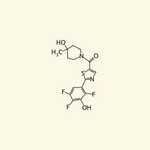 CC1(O)CCN(C(=O)c2cnc(-c3cc(F)c(F)c(O)c3F)s2)CC1